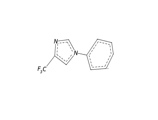 FC(F)(F)c1cn(-c2c[c]ccc2)cn1